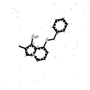 Cc1cn2cccc(OCc3ccccc3)c2c1C=O